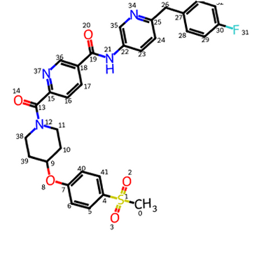 CS(=O)(=O)c1ccc(OC2CCN(C(=O)c3ccc(C(=O)Nc4ccc(Cc5ccc(F)cc5)nc4)cn3)CC2)cc1